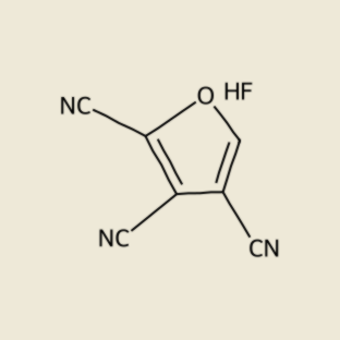 F.N#Cc1coc(C#N)c1C#N